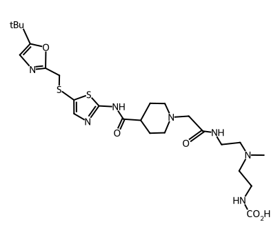 CN(CCNC(=O)O)CCNC(=O)CN1CCC(C(=O)Nc2ncc(SCc3ncc(C(C)(C)C)o3)s2)CC1